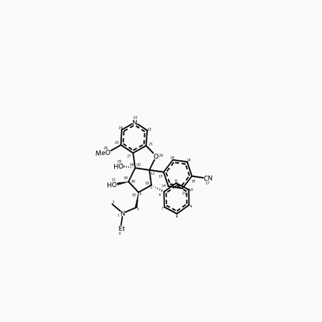 CCN(C)C[C@@H]1[C@@H](c2ccccc2)C2(c3ccc(C#N)cc3)Oc3cncc(OC)c3[C@]2(O)[C@@H]1O